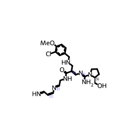 COc1ccc(CNC/C(=C\N=C(/N)N2CCC[C@H]2CO)C(=O)NC/C=N/C=C\C=N)cc1Cl